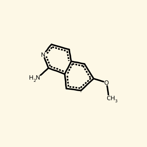 COc1[c]cc2c(N)nccc2c1